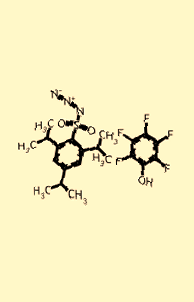 CC(C)c1cc(C(C)C)c(S(=O)(=O)N=[N+]=[N-])c(C(C)C)c1.Oc1c(F)c(F)c(F)c(F)c1F